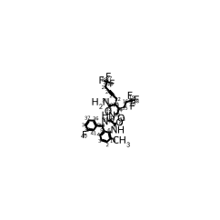 Cc1cccc2c1NC(=O)[C@@H](NC(=O)[C@H](CCC(F)(F)F)[C@H](CC#CCC(F)(F)F)C(N)=O)N=C2c1cccc(F)c1